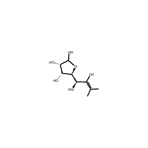 CC(C)=C(O)[C@@H](O)[C@@H]1OC(O)[C@@H](O)[C@H]1O